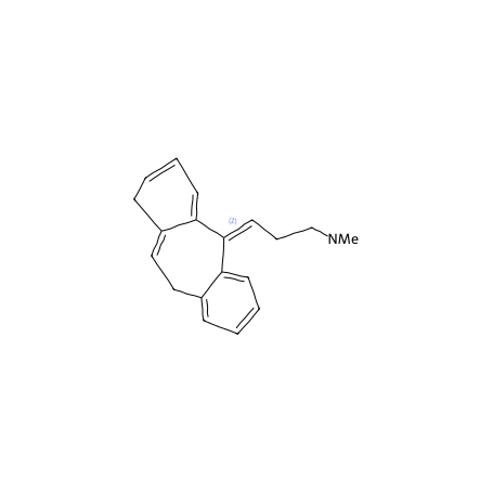 CNCC/C=C1/C2=CC=CCC2=CCc2ccccc21